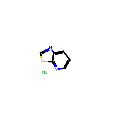 Cl.c1cnc2scnc2c1